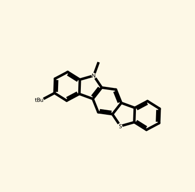 Cn1c2ccc(C(C)(C)C)cc2c2cc3sc4ccccc4c3cc21